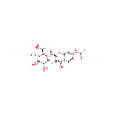 CC(=O)Oc1ccc2c(O)c(O[C@H]3O[C@H](CO)[C@@H](O)[C@H](O)[C@@H]3O)c(=O)oc2c1